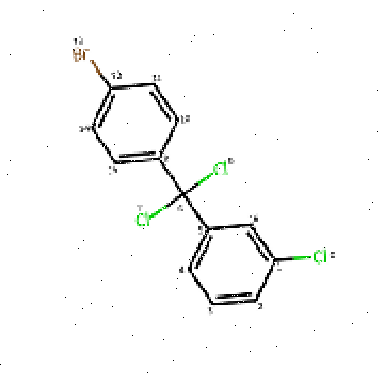 Clc1cccc(C(Cl)(Cl)c2ccc(Br)cc2)c1